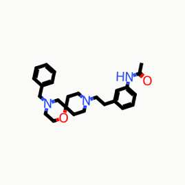 CC(=O)Nc1cccc(CCN2CCC3(CC2)CN(Cc2ccccc2)CCO3)c1